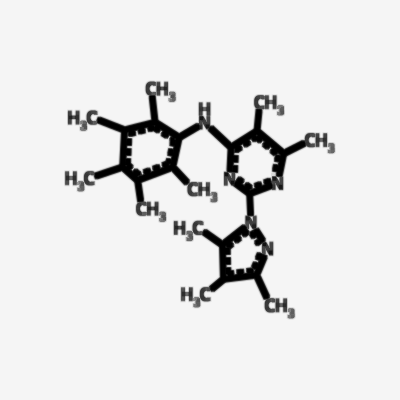 Cc1nc(-n2nc(C)c(C)c2C)nc(Nc2c(C)c(C)c(C)c(C)c2C)c1C